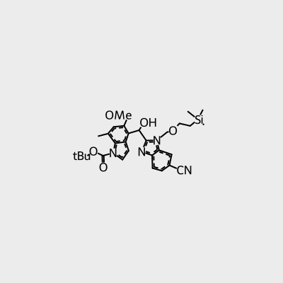 COc1cc(C)c2c(ccn2C(=O)OC(C)(C)C)c1C(O)c1nc2ccc(C#N)cc2n1COCC[Si](C)(C)C